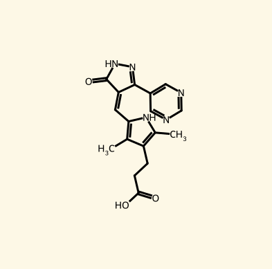 Cc1[nH]c(/C=C2/C(=O)NN=C2c2cncnc2)c(C)c1CCC(=O)O